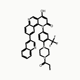 CCC(=O)N1CCN(c2ccc(-n3c(=O)cc(O)c4cnc5ccc(-c6cnc7ccccc7c6)cc5c43)cc2C(F)(F)F)CC1